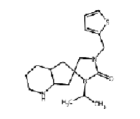 CC(C)N1C(=O)N(Cc2cccs2)CC12CC1CCCNC1C2